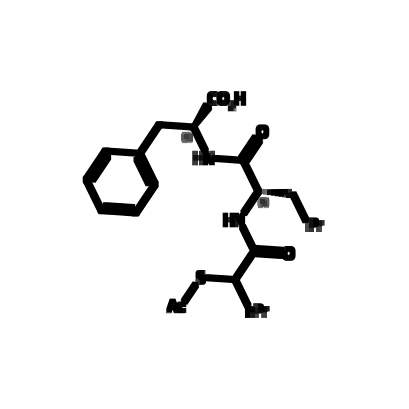 CCCC(SC(C)=O)C(=O)N[C@@H](CC(C)C)C(=O)N[C@@H](Cc1ccccc1)C(=O)O